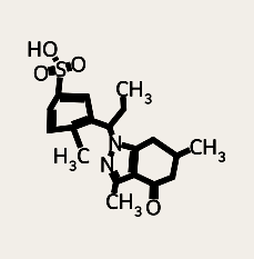 CCC(c1cc(S(=O)(=O)O)ccc1C)n1nc(C)c2c1CC(C)CC2=O